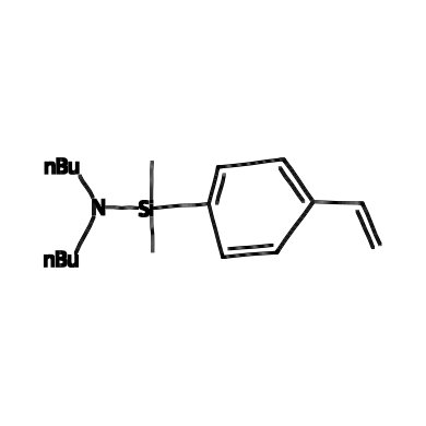 C=Cc1ccc([Si](C)(C)N(CCCC)CCCC)cc1